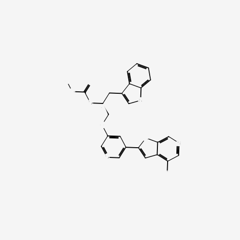 CC(C)(C)OC(=O)N[C@H](COc1cncc(-c2cc3c(Cl)cncc3s2)c1)Cc1c[nH]c2ccccc12